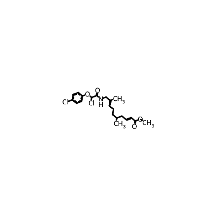 COC(=O)C=CCC(C)CCC=C(C)CNC(=O)C(Cl)Oc1ccc(Cl)cc1